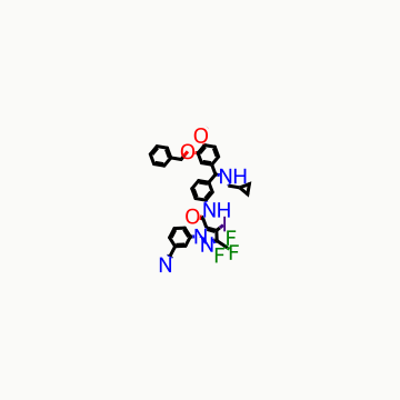 COc1ccc(C(NCC2CC2)c2cccc(NC(=O)c3c(I)c(C(F)(F)F)nn3-c3cccc(C#N)c3)c2)cc1OCc1ccccc1